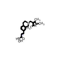 Cc1nn(C)c(C)c1CN1CCc2ccc(/C=C/C(=O)NO)cc2C1